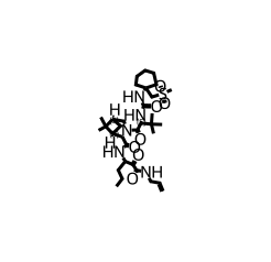 C=CCNC(=O)C(=O)C(CCC)NC(=O)C1[C@@H]2C[C@H](CN1C(=O)[C@@H](NC(=O)NC1(CS(C)(=O)=O)CCCCC1)C(C)(C)C)C2(C)C